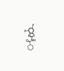 O=C(Nc1nc2c(F)cc(F)cc2s1)C1CCCCC1